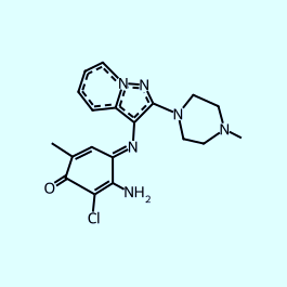 CC1=C/C(=N\c2c(N3CCN(C)CC3)nn3ccccc23)C(N)=C(Cl)C1=O